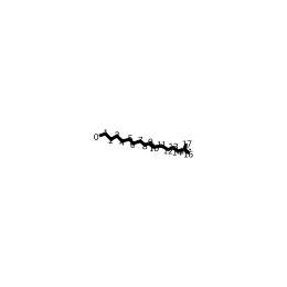 CCCCCCCCCC=CCCCC[C](C)C